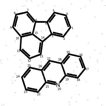 c1ccc2c(c1)-c1cccc3cccc-2c13.c1ccc2nc3ccccc3cc2c1